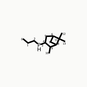 CCCPC1CC2CC(C1C)C2(C)C